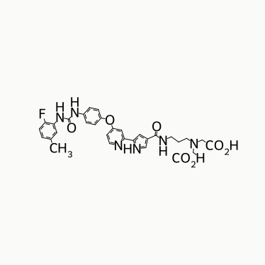 Cc1ccc(F)c(NC(=O)Nc2ccc(Oc3ccnc(-c4cc(C(=O)NCCCN(CC(=O)O)CC(=O)O)c[nH]4)c3)cc2)c1